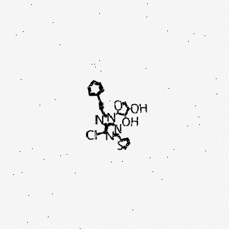 O[C@@H]1[C@H](O)CO[C@H]1n1c(C#Cc2ccccc2)nc2c(Cl)nc(-c3cccs3)nc21